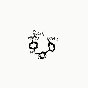 COc1cccc(-c2cc(Nc3ccc(NS(C)(=O)=O)cc3)ncn2)c1